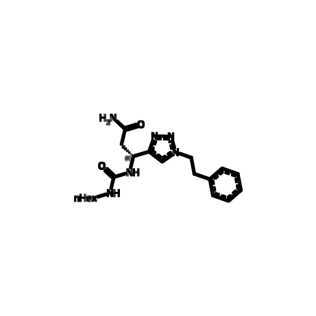 CCCCCCNC(=O)N[C@H](CC(N)=O)c1cn(CCc2ccccc2)nn1